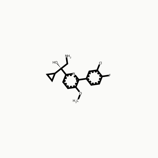 COc1ccc([C@](O)(CN)C2CC2)nc1-c1ccc(F)c(Cl)c1